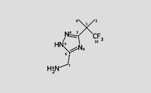 CC(C)(c1n[nH]c(CN)n1)C(F)(F)F